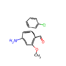 COc1cc(N)ccc1C=O.Clc1ccccc1